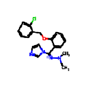 CN(C)/N=C(\c1ccccc1OCc1ccccc1Cl)n1ccnc1